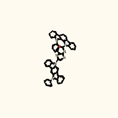 c1cccc(-n2c3ccccc3c3cc4c(cc32)c2ccccc2n4-c2cnc3nc(-n4c5ccccc5c5ccc6c7ccccc7n(-c7ccccc7)c6c54)ncc3n2)c#1